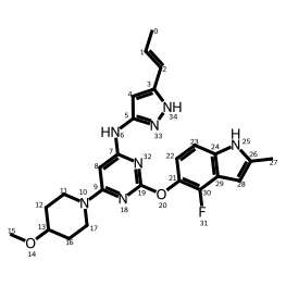 C/C=C/c1cc(Nc2cc(N3CCC(OC)CC3)nc(Oc3ccc4[nH]c(C)cc4c3F)n2)n[nH]1